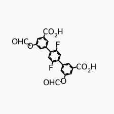 O=COc1cc(C(=O)O)cc(-c2cc(F)c(-c3cc(OC=O)cc(C(=O)O)c3)cc2F)c1